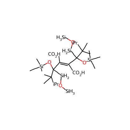 CC(C)C(C)(C)C(O[Si](C)(C)C)([SiH2]O[SiH3])/C(C(=O)O)=C(\C(=O)O)C(O[Si](C)(C)C)([SiH2]O[SiH3])C(C)(C)C(C)C